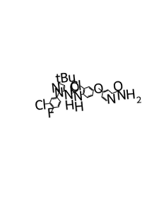 CC(C)(C)c1cc(NC(=O)Nc2ccc(Oc3ccnc(C(N)=O)c3)cc2Cl)n(-c2ccc(F)c(Cl)c2)n1